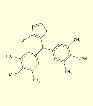 COc1c(C)cc(P(C2=C(P)C=CC2)c2cc(C)c(OC)c(C)c2)cc1C